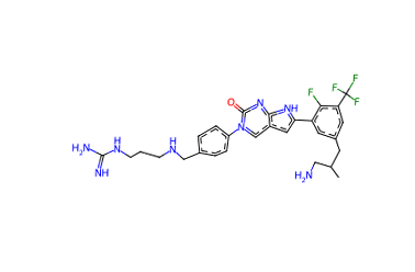 CC(CN)Cc1cc(-c2cc3cn(-c4ccc(CNCCCNC(=N)N)cc4)c(=O)nc3[nH]2)c(F)c(C(F)(F)F)c1